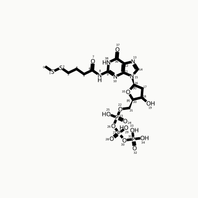 CSSCCCC(=O)Nc1nc2c(ncn2[C@H]2CC(O)[C@@H](COP(=O)(O)OP(=O)(O)OP(=O)(O)O)O2)c(=O)[nH]1